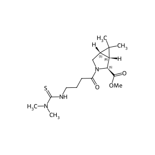 COC(=O)[C@@H]1[C@@H]2[C@H](CN1C(=O)CCCNC(=S)N(C)C)C2(C)C